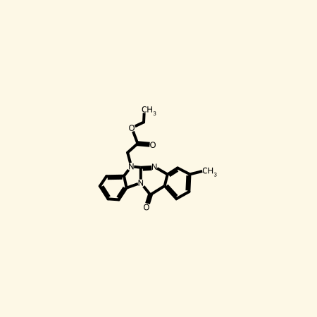 CCOC(=O)Cn1c2ccccc2n2c(=O)c3ccc(C)cc3nc12